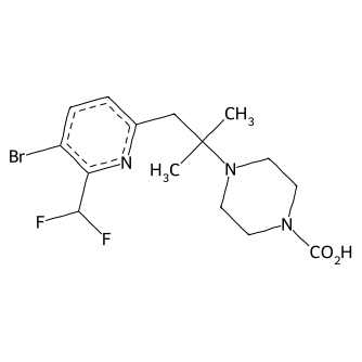 CC(C)(Cc1ccc(Br)c(C(F)F)n1)N1CCN(C(=O)O)CC1